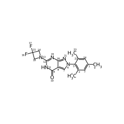 Cc1cc(C)c(-n2cc3c(=O)[nH]c(N4CC(F)(F)C4)nc3n2)c(C)c1